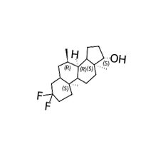 C[C@@H]1CC2CC(F)(F)CC[C@]2(C)C2CC[C@@]3(C)C(CC[C@@H]3O)[C@@H]21